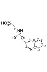 O=S(=O)(O)CCNC(=S)OCc1cnc2ccccc2c1